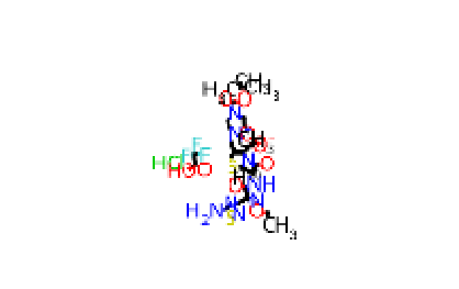 CCON=C(C(=O)N[C@@H]1C(=O)N2C(C(=O)[O-])=C(C[N+]3(C)CCN(C(=O)OC(C)(C)C)CC3)CS[C@@H]12)c1nsc(N)n1.Cl.O=C(O)C(F)(F)F